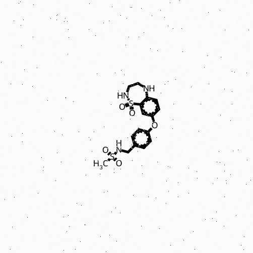 CS(=O)(=O)NCc1ccc(Oc2ccc3c(c2)S(=O)(=O)NCCN3)cc1